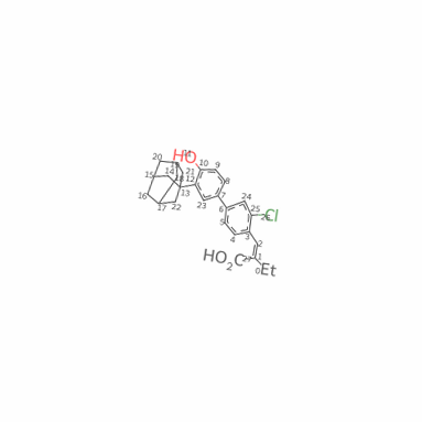 CCC(=Cc1ccc(-c2ccc(O)c(C34CC5CC(CC(C5)C3)C4)c2)cc1Cl)C(=O)O